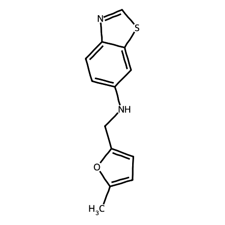 Cc1ccc(CNc2ccc3ncsc3c2)o1